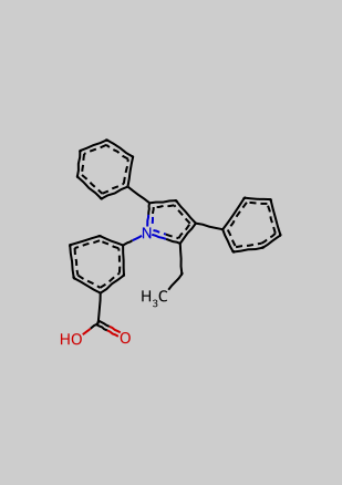 CCc1c(-c2ccccc2)cc(-c2ccccc2)n1-c1cccc(C(=O)O)c1